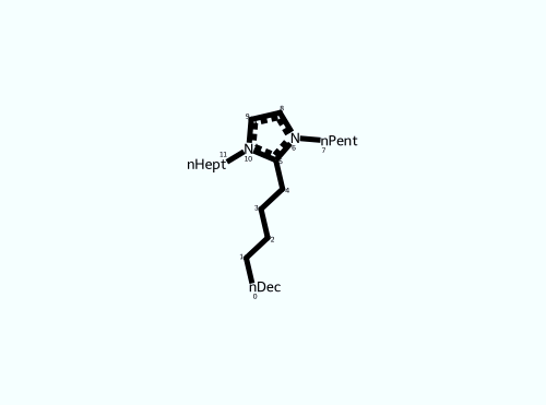 CCCCCCCCCCCCCCc1n(CCCCC)cc[n+]1CCCCCCC